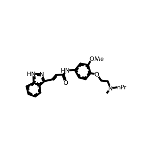 CCCN(C)CCOc1ccc(NC(=O)C=Cc2n[nH]c3ccccc23)cc1OC